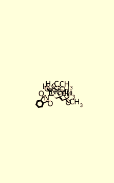 COC(=O)C=C(C[C@@H]1[C@@H](N2C(=O)c3ccccc3C2=O)C(=O)N1[Si](C)(C)C(C)(C)C)OC